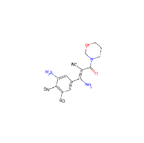 N#C/C(C(=O)N1CCCOC1)=C(/N)c1cc(N)c(N=O)c(N=O)c1